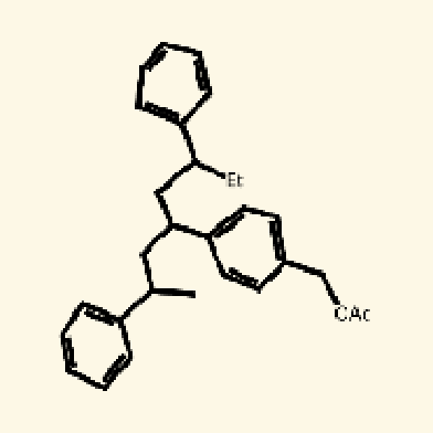 CCC(CC(CC(C)c1ccccc1)c1ccc(COC(C)=O)cc1)c1ccccc1